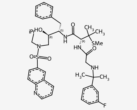 CSC(C)(C)[C@H](NC(=O)CNC(C)(C)c1cccc(F)c1)C(=O)N[C@@H](Cc1ccccc1)[C@H](O)CN(CC(C)C)S(=O)(=O)c1ccc2ncccc2c1